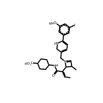 C/C=C(/C(=O)NC1CCC(C(=O)O)CC1)C1C(C)C=[N+]1CC1=CC=C(c2cc(F)cc(OC)c2)NC1